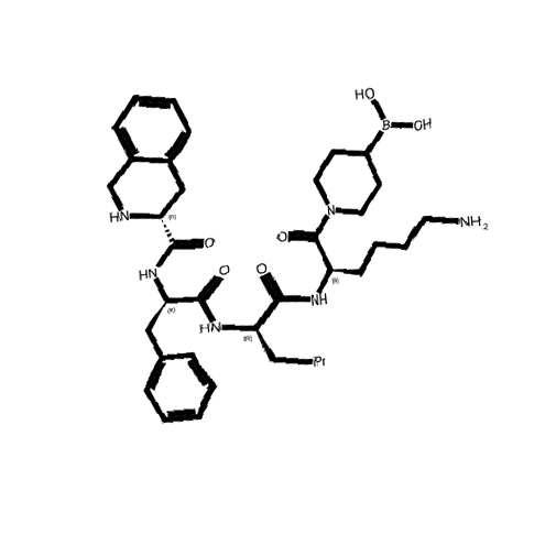 CC(C)C[C@@H](NC(=O)[C@@H](Cc1ccccc1)NC(=O)[C@H]1Cc2ccccc2CN1)C(=O)N[C@H](CCCCN)C(=O)N1CCC(B(O)O)CC1